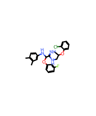 Cc1ccc(NC(Oc2cccc(F)c2)C(=N)NCC(C)Oc2ccccc2Cl)cc1C